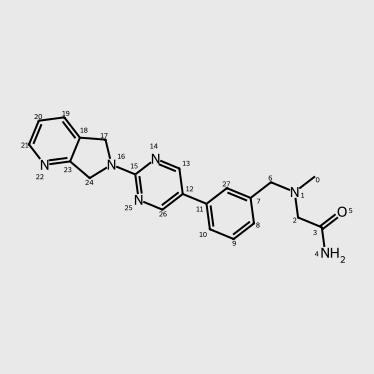 CN(CC(N)=O)Cc1cccc(-c2cnc(N3Cc4cccnc4C3)nc2)c1